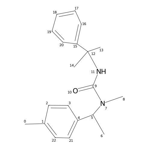 Cc1ccc(C(C)N(C)C(=O)NC(C)(C)c2ccccc2)cc1